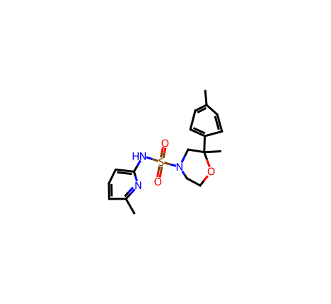 Cc1ccc(C2(C)CN(S(=O)(=O)Nc3cccc(C)n3)CCO2)cc1